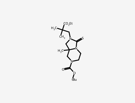 CCOC(=O)C(C)(C)CN1CC2(C)CN(C(=O)OC(C)(C)C)CCN2C1=S